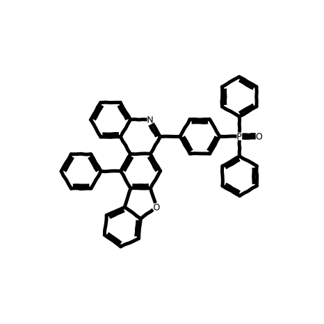 O=P(c1ccccc1)(c1ccccc1)c1ccc(-c2nc3ccccc3c3c(-c4ccccc4)c4c(cc23)oc2ccccc24)cc1